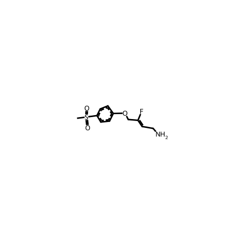 CS(=O)(=O)c1ccc(OCC(F)=CCN)cc1